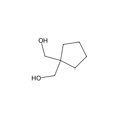 OCC1(CO)[CH]CCC1